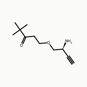 C#C[C@H](N)COCCC(=O)C(C)(C)C